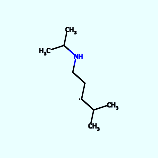 CC(C)[CH]CCNC(C)C